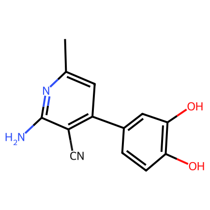 Cc1cc(-c2ccc(O)c(O)c2)c(C#N)c(N)n1